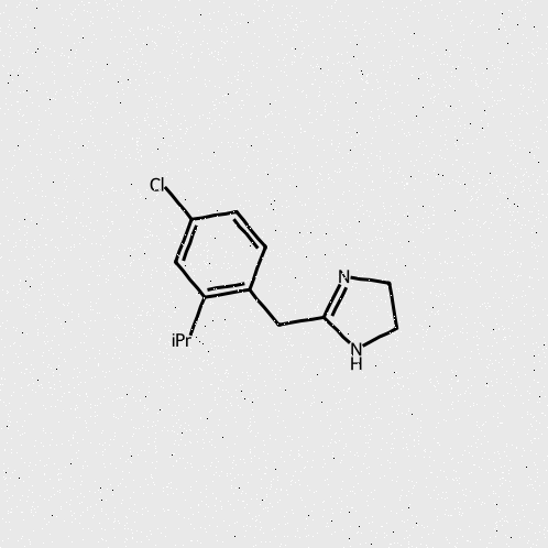 CC(C)c1cc(Cl)ccc1CC1=NCCN1